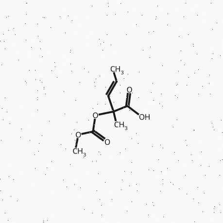 CC=CC(C)(OC(=O)OC)C(=O)O